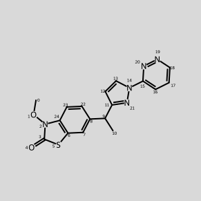 COn1c(=O)sc2cc(C(C)c3ccn(-c4cccnn4)n3)ccc21